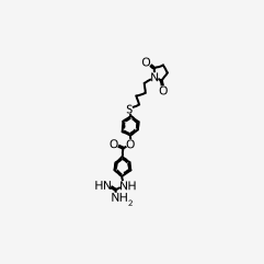 N=C(N)Nc1ccc(C(=O)Oc2ccc(SCCCCN3C(=O)CCC3=O)cc2)cc1